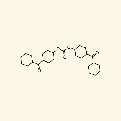 O=C(OC1CCC(C(=O)C2CCCCC2)CC1)OC1CCC(C(=O)C2CCCCC2)CC1